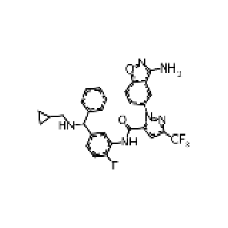 Nc1noc2ccc(-n3nc(C(F)(F)F)cc3C(=O)Nc3cc(C(NCC4CC4)c4ccccc4)ccc3F)cc12